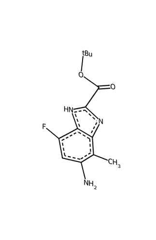 Cc1c(N)cc(F)c2[nH]c(C(=O)OC(C)(C)C)nc12